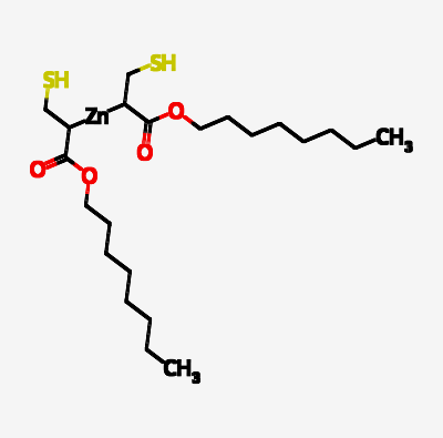 CCCCCCCCOC(=O)[CH](CS)[Zn][CH](CS)C(=O)OCCCCCCCC